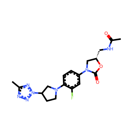 CC(=O)NC[C@H]1CN(c2ccc(N3CCC(n4nnc(C)n4)C3)c(F)c2)C(=O)O1